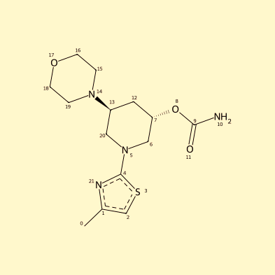 Cc1csc(N2C[C@@H](OC(N)=O)C[C@H](N3CCOCC3)C2)n1